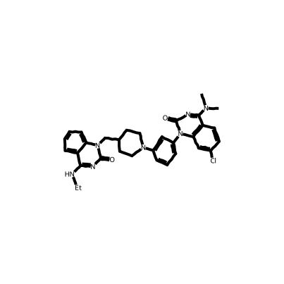 CCNc1nc(=O)n(CC2CCN(c3cccc(-n4c(=O)nc(N(C)C)c5ccc(Cl)cc54)c3)CC2)c2ccccc12